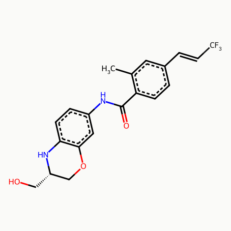 Cc1cc(/C=C/C(F)(F)F)ccc1C(=O)Nc1ccc2c(c1)OC[C@H](CO)N2